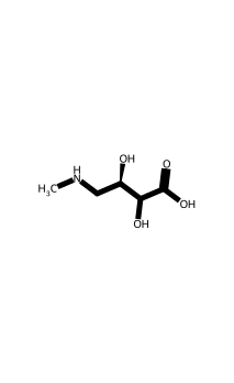 CNC[C@@H](O)C(O)C(=O)O